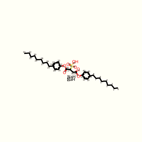 CCCCCCCCCc1ccc(OC(=O)CC(C(=O)Oc2ccc(CCCCCCCCC)cc2)S(=O)(=O)O)cc1.[NaH].[NaH]